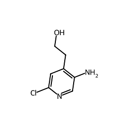 Nc1cnc(Cl)cc1CCO